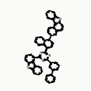 c1ccc(-c2cccc(-c3nc(-c4ccc(-c5ccc6c(ccc7oc8ccccc8c76)c5)c5ccccc45)nc(-c4cccc5oc6ccccc6c45)n3)c2)cc1